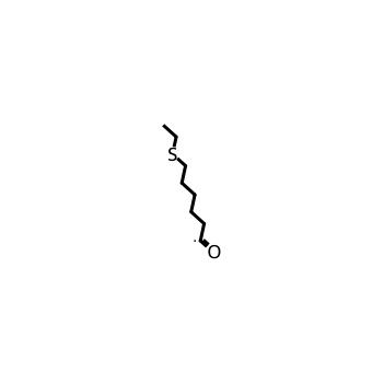 CCSCCCCC[C]=O